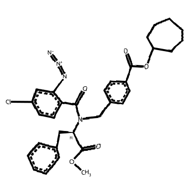 COC(=O)[C@@H](Cc1ccccc1)N(Cc1ccc(C(=O)OC2CCCCCC2)cc1)C(=O)c1ccc(Cl)cc1N=[N+]=[N-]